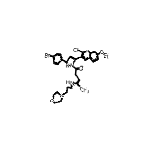 C=C(CCC(=O)N1N=C(c2ccc(Br)cc2)CC1c1cc2ccc(OCC)cc2nc1Cl)NCCCN1CCOCC1